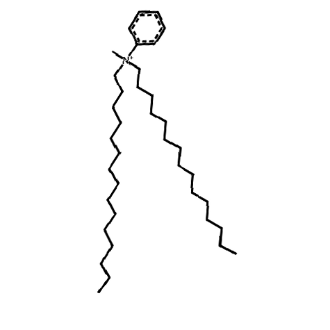 CCCCCCCCCCCCCCC[N+](C)(CCCCCCCCCCCCCCC)c1ccccc1